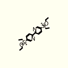 CCO[Si](C)(CC)c1ccc(-c2ccc([Si](C)(CC)OCC)cn2)nc1